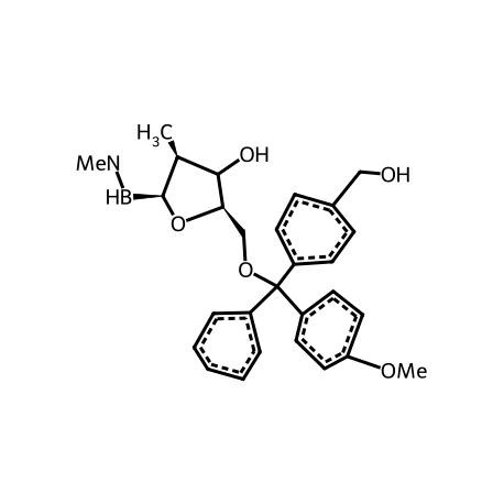 CNB[C@@H]1O[C@H](COC(c2ccccc2)(c2ccc(CO)cc2)c2ccc(OC)cc2)C(O)[C@@H]1C